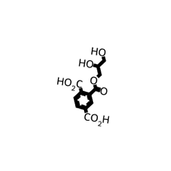 O=C(O)c1ccc(C(=O)O)c(C(=O)OCC(O)CO)c1